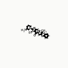 CCn1c(N2CCCC(N)C2)nc2cnn(CC3=Nc4ccccc4OC3(C)C)c(=O)c21